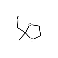 CC1(CF)OCCO1